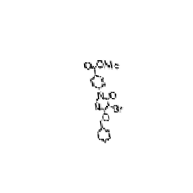 COC(=O)c1ccc(-n2cnc(OCc3ccccc3)c(Br)c2=O)cc1